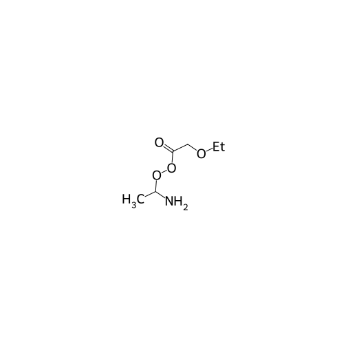 CCOCC(=O)OOC(C)N